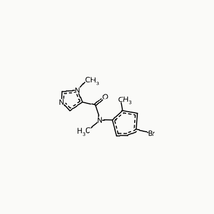 Cc1cc(Br)ccc1N(C)C(=O)c1cncn1C